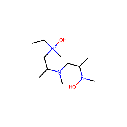 CC[N+](C)(O)CC(C)N(C)CC(C)N(C)O